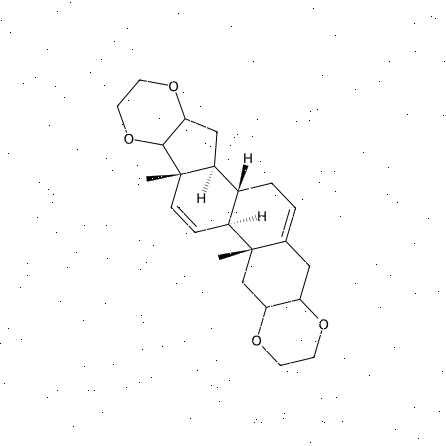 C[C@]12CC3OCCOC3CC1=CC[C@@H]1[C@@H]2C=C[C@]2(C)C3OCCOC3C[C@@H]12